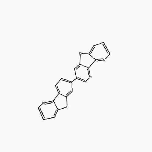 c1cnc2c(c1)oc1cc(-c3cnc4c(c3)oc3cccnc34)ccc12